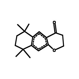 CC1(C)CCC(C)(C)c2cc3c(cc21)OCCC3=O